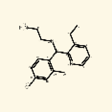 CCc1cccnc1C(NCCN)c1ccc(Cl)cc1C